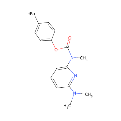 CN(C)c1cccc(N(C)C(=O)Oc2ccc(C(C)(C)C)cc2)n1